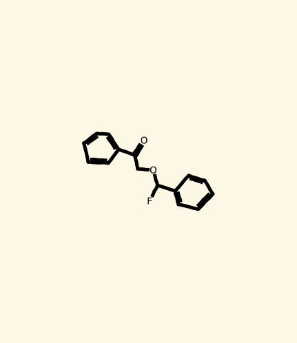 O=C(COC(F)c1ccccc1)c1ccccc1